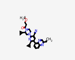 C=Cc1cnc2c(-c3cc(C#N)c(N4CCN(C(=O)CCOC)C(C5CC5)C4)nc3C3CC3)cccc2n1